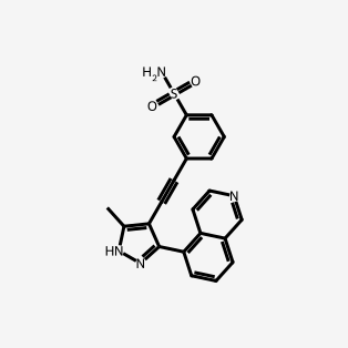 Cc1[nH]nc(-c2cccc3cnccc23)c1C#Cc1cccc(S(N)(=O)=O)c1